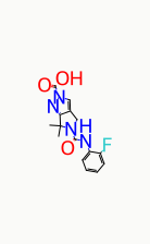 CC1(C)c2nn(C(=O)O)cc2CN1C(=O)Nc1ccccc1F